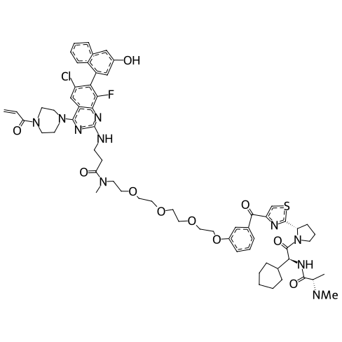 C=CC(=O)N1CCN(c2nc(NCCC(=O)N(C)CCOCCOCCOCCOc3cccc(C(=O)c4csc([C@@H]5CCCN5C(=O)[C@@H](NC(=O)[C@H](C)NC)C5CCCCC5)n4)c3)nc3c(F)c(-c4cc(O)cc5ccccc45)c(Cl)cc23)CC1